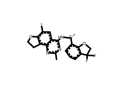 Cc1nc(N[C@H](C)c2cccc3c2OCC3(F)F)c2cc(I)c3c(c2n1)CCO3